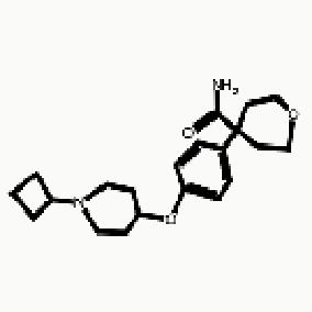 NC(=O)C1(c2ccc(OC3CCN(C4CCC4)CC3)cc2)CCOCC1